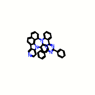 c1ccc(-c2nc(-c3ccccc3)nc(-c3ccccc3-n3c4cccc5ccc6c7cnccc7n(c7ccccc73)c6c54)n2)cc1